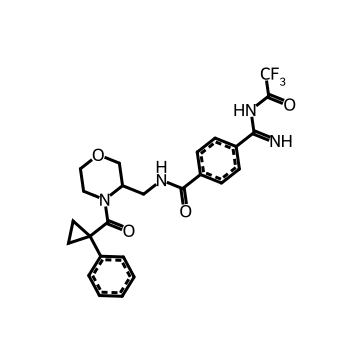 N=C(NC(=O)C(F)(F)F)c1ccc(C(=O)NCC2COCCN2C(=O)C2(c3ccccc3)CC2)cc1